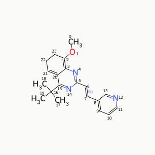 COC1=c2nc(/C=C/c3cccnc3)nc(C(C)(C)C)c2=CCC1